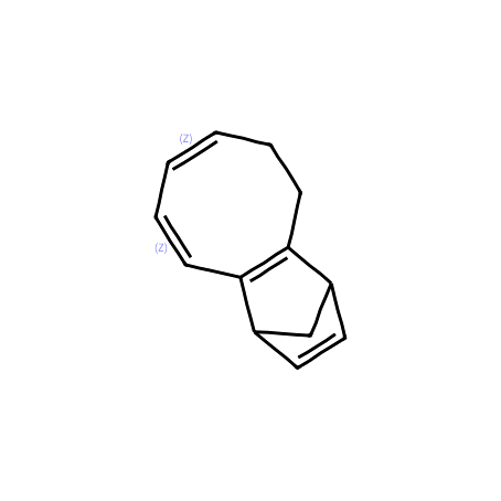 C1=CC2CC1C1=C2CC/C=C\C=C/1